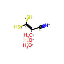 N#CC=C(S)S.O.O.O